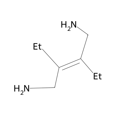 CCC(CN)=C(CC)CN